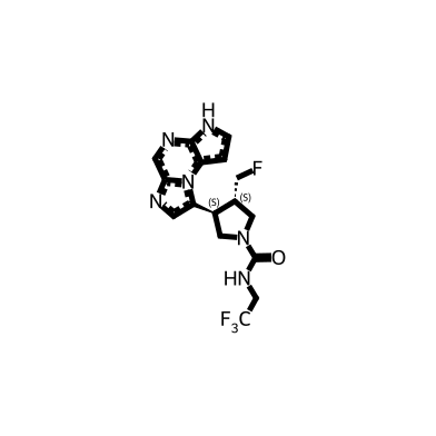 O=C(NCC(F)(F)F)N1C[C@@H](CF)[C@H](c2cnc3cnc4[nH]ccc4n23)C1